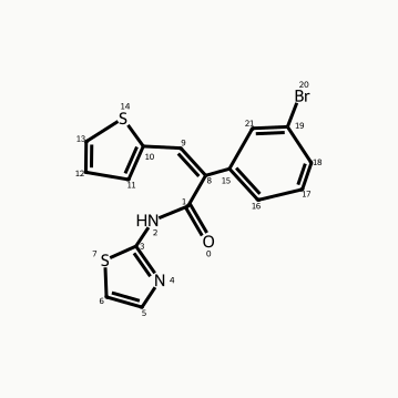 O=C(Nc1nccs1)C(=Cc1cccs1)c1cccc(Br)c1